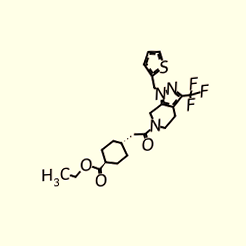 CCOC(=O)[C@H]1CC[C@H](CC(=O)N2CCc3c(C(F)(F)F)nn(Cc4cccs4)c3C2)CC1